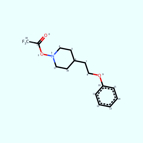 O=C(ON1CCC(CCOc2ccccc2)CC1)C(F)(F)F